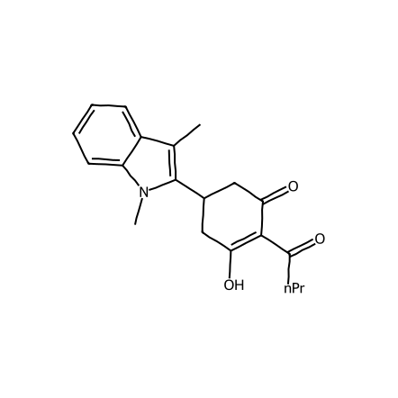 CCCC(=O)C1=C(O)CC(c2c(C)c3ccccc3n2C)CC1=O